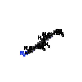 CC(C)=CCC/C=C(\C)CC/C=C(\C)CC/C(C)=C/CC/C(C)=C/CC/C=C(\C)CCCN